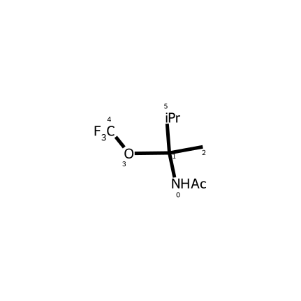 CC(=O)NC(C)(OC(F)(F)F)C(C)C